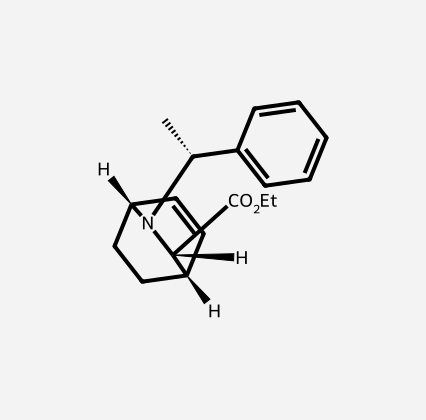 CCOC(=O)[C@@H]1[C@@H]2C=C[C@@H](CC2)N1[C@H](C)c1ccccc1